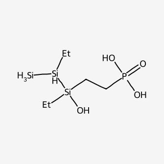 CC[SiH]([SiH3])[Si](O)(CC)CCP(=O)(O)O